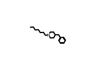 CCCCCCCN1CCC(Cc2ccccc2)CC1